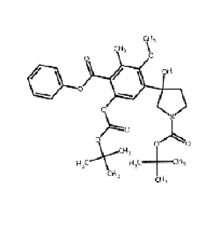 COc1c(C2(O)CCN(C(=O)OC(C)(C)C)C2)cc(OC(=O)OC(C)(C)C)c(C(=O)Oc2ccccc2)c1C